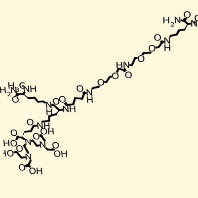 CN[C@@H](CCCCNC(=O)COCCOCCNC(=O)COCCOCCNC(=O)CCCC(=O)N[C@@H](CCCCNC(=O)CC[C@@H](C(=O)O)N(CCN(CC(=O)O)CC(=O)O)CCN(CC(=O)O)CC(=O)O)C(=O)NCCCC[C@H](NC)C(N)=O)C(N)=O